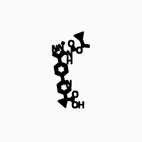 CC(OC(=O)Nc1c(-c2ccc(-c3ccc(C4(C(=O)O)CC4)cn3)cc2)cnn1C)C1CC1